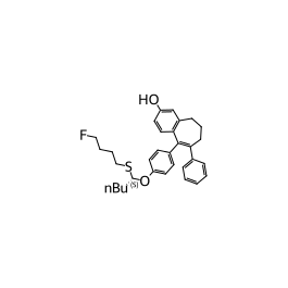 CCCC[C@@H](Oc1ccc(C2=C(c3ccccc3)CCCc3cc(O)ccc32)cc1)SCCCCF